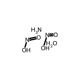 N.O.O=NO.O=NO